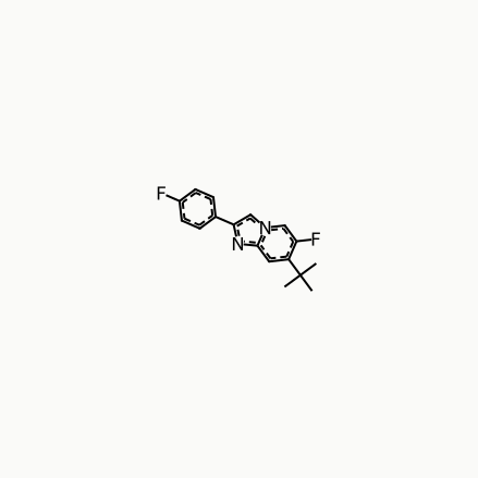 CC(C)(C)c1cc2nc(-c3ccc(F)cc3)cn2cc1F